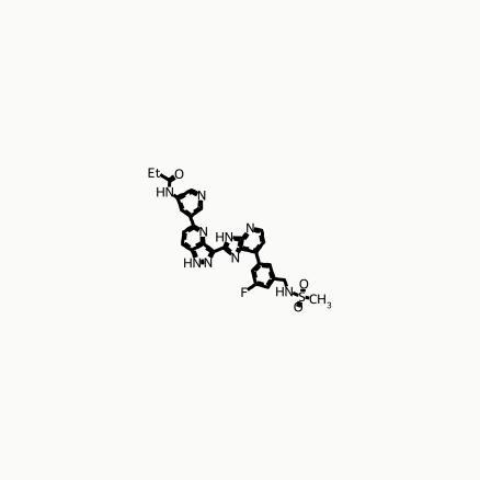 CCC(=O)Nc1cncc(-c2ccc3[nH]nc(-c4nc5c(-c6cc(F)cc(CNS(C)(=O)=O)c6)ccnc5[nH]4)c3n2)c1